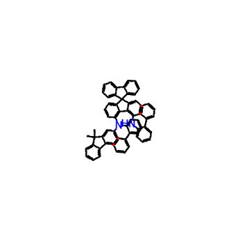 CC1(C)c2ccccc2-c2ccc(N(c3ccccc3-c3ccccc3)c3cccc4c3-c3c(Nc5ccccc5-c5ccccc5)cccc3C43c4ccccc4-c4ccccc43)cc21